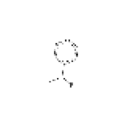 FC(F)c1c[c]ccc1